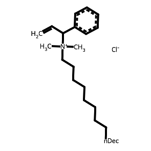 C=CC(c1ccccc1)[N+](C)(C)CCCCCCCCCCCCCCCCCC.[Cl-]